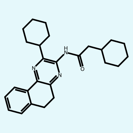 O=C(CC1CCCCC1)Nc1nc2c(nc1C1CCCCC1)-c1ccccc1CC2